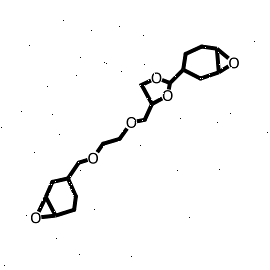 C(COCC1COC(C2CCC3OC3C2)O1)OCC1CCC2OC2C1